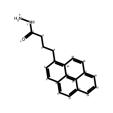 NNC(=O)CCCc1ccc2ccc3cccc4ccc1c2c34